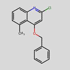 Cc1cccc2nc(Cl)cc(OCc3ccccc3)c12